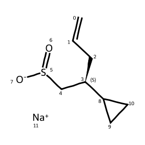 C=CC[C@H](CS(=O)[O-])C1CC1.[Na+]